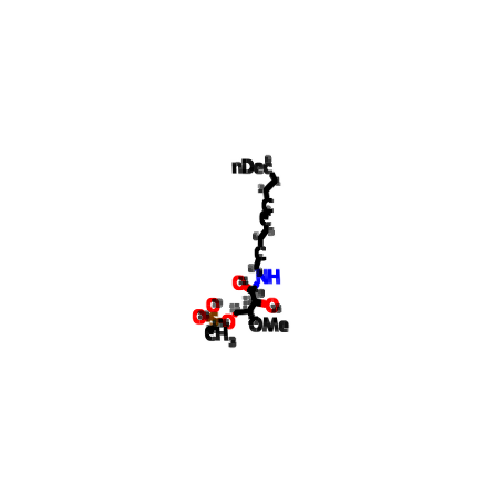 CCCCCCCCCCCCCCCCCCNC(=O)C(=O)C(COS(C)(=O)=O)OC